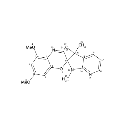 COc1cc(OC)c2c(c1)OC1(C=N2)N(C)c2ncccc2C1(C)C